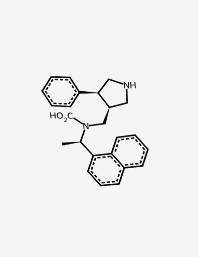 C[C@H](c1cccc2ccccc12)N(C[C@@H]1CNC[C@@H]1c1ccccc1)C(=O)O